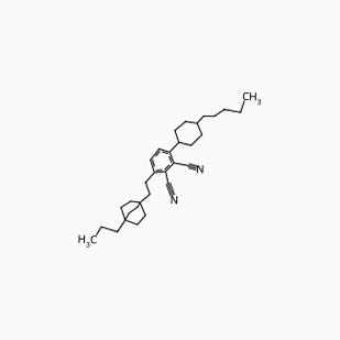 CCCCCC1CCC(c2ccc(CCC34CCC(CCC)(CC3)CC4)c(C#N)c2C#N)CC1